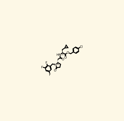 O=C(C[C@@H]1CCC(=O)N1Cc1cc(F)cc(F)c1F)N[C@@H](CC1CC1)C(=O)OCc1ccc(Cl)cc1